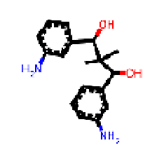 CC(C)(C(O)c1cccc(N)c1)C(O)c1cccc(N)c1